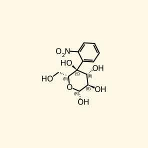 O=[N+]([O-])c1ccccc1[C@]1(O)[C@H](O)[C@@H](O)[C@H](O)O[C@@H]1CO